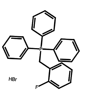 Br.Fc1ccccc1C[P](c1ccccc1)(c1ccccc1)c1ccccc1